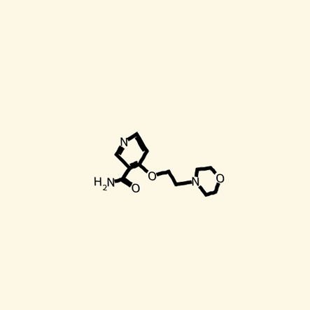 NC(=O)c1cnccc1OCCN1CCOCC1